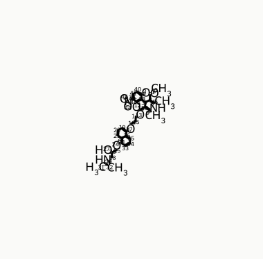 COC(=O)C1=C(C)NC(C)=C(C(=O)OCCCOc2cccc3c(OCC(O)CNC(C)C)cccc23)C1c1cccc([N+](=O)[O-])c1